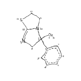 CC1(c2ccccc2)CN=C2SCCN21